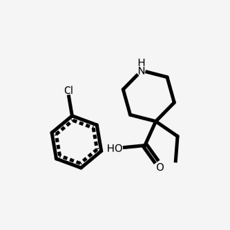 CCC1(C(=O)O)CCNCC1.Clc1ccccc1